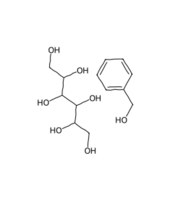 OCC(O)C(O)C(O)C(O)CO.OCc1ccccc1